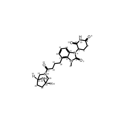 Cn1c(=O)n(C2CCC(=O)NC2=O)c2cccc(CCCC(=O)N3C[C@H]4CC[C@@H](C3)N4)c21